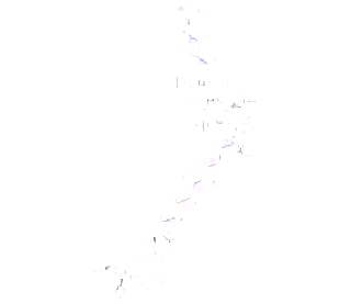 CC(/C=C/C=C/C(=O)OC1CCCC(C(=O)O)C1)=C\C=C\C=C(/Cl)C(C)C(O)C(O)C(O)CC(O)/C=C/C=C/C(C)C